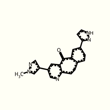 Cn1cc(-c2cnc3ccc4ccc(-c5cc[nH]n5)cc4c(=O)c3c2)cn1